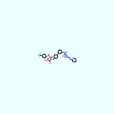 O=C(CNCCc1ccccn1)Nc1cccc(-c2ccc(C[C@@H](NS(=O)(=O)c3ccc(C(F)(F)F)cc3)C(=O)O)cc2)c1